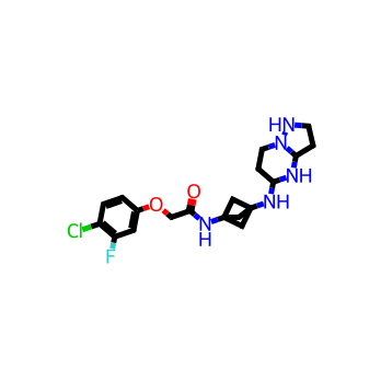 O=C(COc1ccc(Cl)c(F)c1)NC12CC(NC3CCN4NCCC4N3)(C1)C2